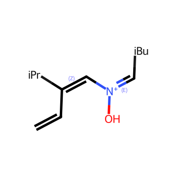 C=C/C(=C\[N+](O)=C/C(C)CC)C(C)C